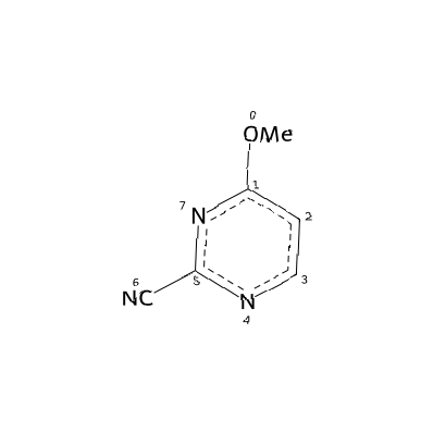 COc1ccnc(C#N)n1